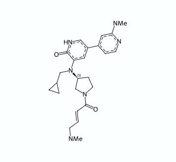 CNCC=CC(=O)N1CC[C@H](N(CC2CC2)c2cc(-c3ccnc(NC)c3)c[nH]c2=O)C1